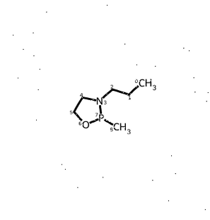 CCCN1CCOP1C